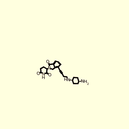 N[C@H]1CC[C@@H](NCCC#Cc2cccc3c2CN(C2CCC(=O)NC2=O)C3=O)CC1